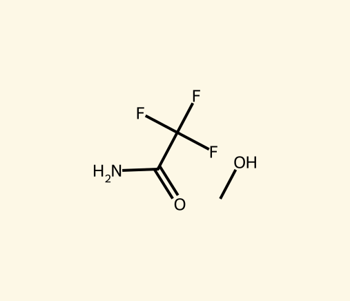 CO.NC(=O)C(F)(F)F